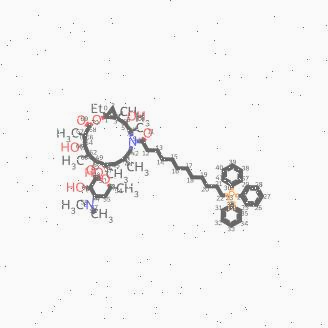 CC[C@@]12C[C@@]1(C)[C@H](O)[C@@H](C)N(C(=O)CCCCCCCCCCC[PH](c1ccccc1)(c1ccccc1)c1ccccc1)C[C@H](C)C[C@@](C)(O)[C@H](O[C@@H]1O[C@H](C)C[C@H](N(C)C)[C@H]1O)[C@@H](C)[C@H](O)[C@@H](C)C(=O)O2